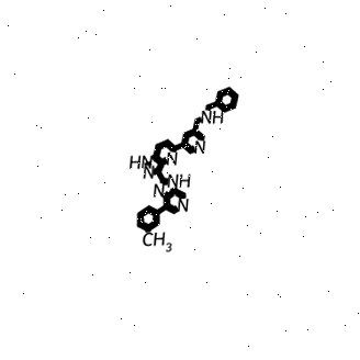 Cc1cccc(-c2cncc3[nH]c(-c4n[nH]c5ccc(-c6cncc(CNCc7ccccc7)c6)nc45)nc23)c1